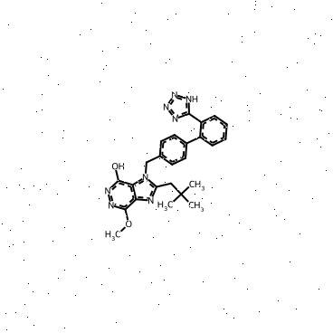 COc1nnc(O)c2c1nc(CC(C)(C)C)n2Cc1ccc(-c2ccccc2-c2nnn[nH]2)cc1